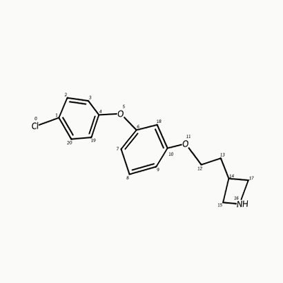 Clc1ccc(Oc2cccc(OCCC3CNC3)c2)cc1